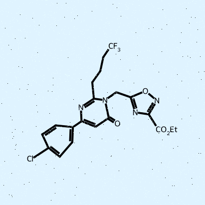 CCOC(=O)c1noc(Cn2c(CCCC(F)(F)F)nc(-c3ccc(Cl)cc3)cc2=O)n1